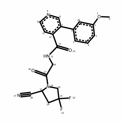 COc1cccc(-c2cnccc2C(=O)NCC(=O)N2CC(F)(F)CC2C#N)c1